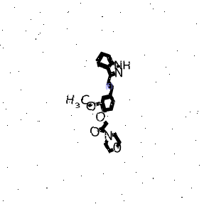 COc1cc(/C=C/c2n[nH]c3ccccc23)ccc1OCC(=O)N1CCOCC1